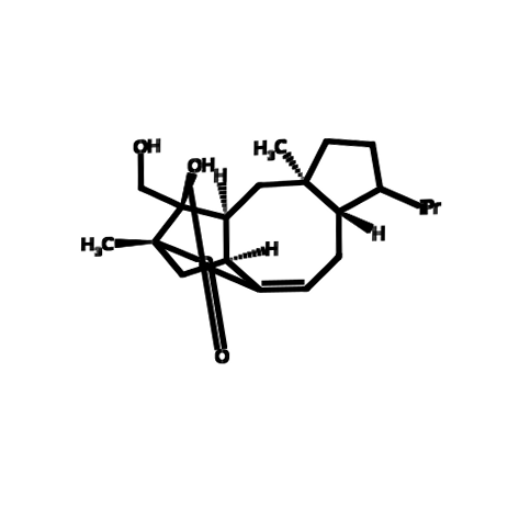 CC(C)C1CC[C@]2(C)C[C@H]3[C@@H]4C[C@@](C)(OC(=O)/C4=C/C[C@@H]12)[C@]3(O)CO